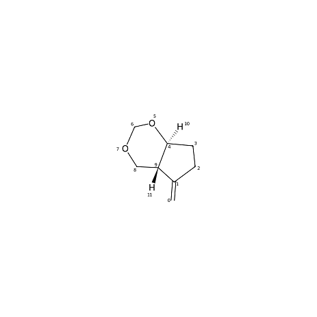 C=C1CC[C@@H]2OCOC[C@@H]12